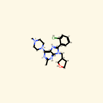 Cc1nc(N2CCN(C)CC2)c2nc(-c3ccccc3Cl)n(CC3CCOC3)c2n1